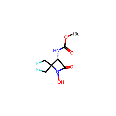 CC(C)(C)OC(=O)N[C@@H]1C(=O)N(O)C1(CF)CF